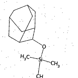 C[Si](C)(C)OC1C2CC3CC(C2)CC1C3